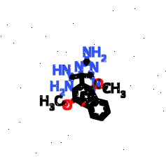 COc1ccc(OC)c(C2(C(=N)N)N=C(N)N=C2N=C2CCc3ccccc32)c1